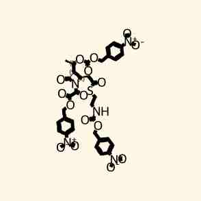 C[C@@H](OC(=O)OCc1ccc([N+](=O)[O-])cc1)[C@H]1C(=O)N(C(=O)C(=O)OCc2ccc([N+](=O)[O-])cc2)[C@@H]1CC(=O)SCCNC(=O)OCc1ccc([N+](=O)[O-])cc1